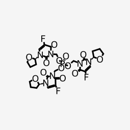 O=c1c(F)cn([C@H]2CCCO2)c(=O)n1COP(=O)(OCn1c(=O)c(F)cn([C@H]2CCCO2)c1=O)OCn1c(=O)c(F)cn([C@H]2CCCO2)c1=O